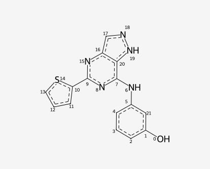 Oc1cccc(Nc2nc(-c3cccs3)nc3cn[nH]c23)c1